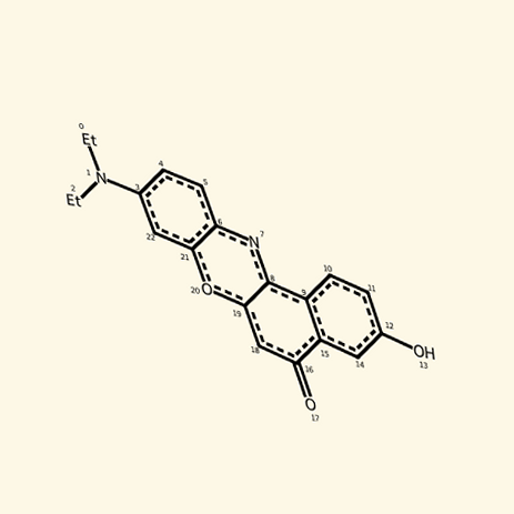 CCN(CC)c1ccc2nc3c4ccc(O)cc4c(=O)cc-3oc2c1